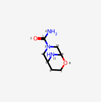 NC(=O)N1CC2CCOC(C1)N2